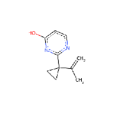 C=C(C)C1(c2nccc(O)n2)CC1